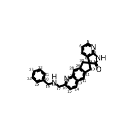 O=C1Nc2ncccc2C12Cc1cc3ccc(CNCc4ccccc4)nc3cc1C2